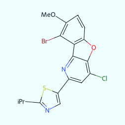 COc1ccc2oc3c(Cl)cc(-c4cnc(C(C)C)s4)nc3c2c1Br